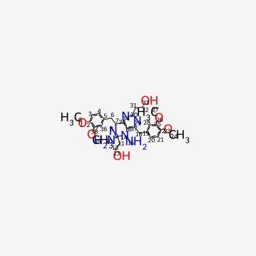 COc1ccc(CC2=NC(N)(CCO)N(N)c3c(Cc4ccc(OC)c(OC)c4)nc(CCO)nc32)cc1OC